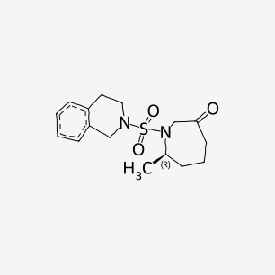 C[C@@H]1CCCC(=O)CN1S(=O)(=O)N1CCc2ccccc2C1